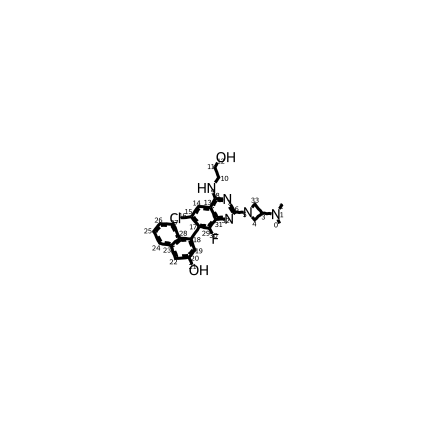 CN(C)C1CN(c2nc(NCCO)c3cc(Cl)c(-c4cc(O)cc5ccccc45)c(F)c3n2)C1